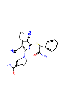 CCc1c(C#N)c(SC(C(N)=O)c2ccccc2)nc(N2CCC(C(N)=O)C2)c1C#N